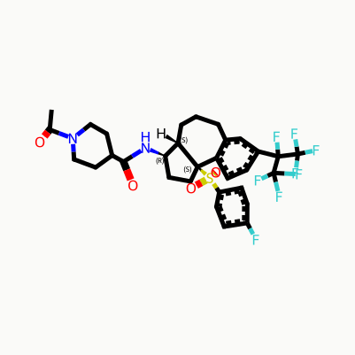 CC(=O)N1CCC(C(=O)N[C@@H]2CC[C@@]3(S(=O)(=O)c4ccc(F)cc4)c4ccc(C(F)(C(F)(F)F)C(F)(F)F)cc4CCC[C@@H]23)CC1